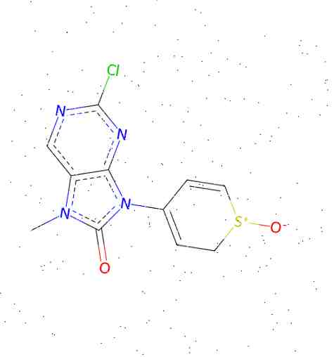 Cn1c(=O)n(C2=CC[S+]([O-])C=C2)c2nc(Cl)ncc21